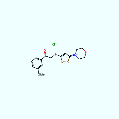 COc1cccc(C(=O)CSc2cc(=[N+]3CCOCC3)ss2)c1.[Cl-]